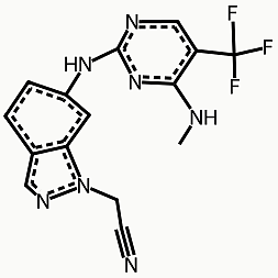 CNc1nc(Nc2ccc3cnn(CC#N)c3c2)ncc1C(F)(F)F